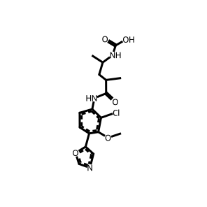 COc1c(-c2cnco2)ccc(NC(=O)C(C)CC(C)NC(=O)O)c1Cl